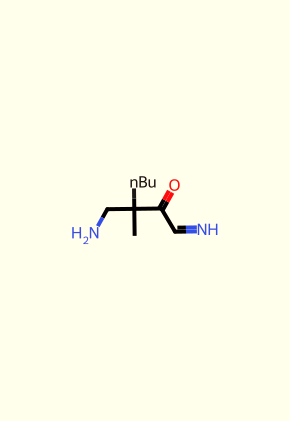 CCCCC(C)(CN)C(=O)C=N